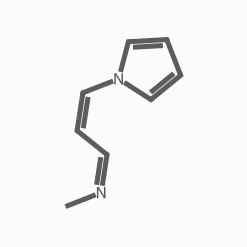 C/N=C\C=C/n1cccc1